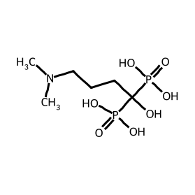 CN(C)CCCC(O)(P(=O)(O)O)P(=O)(O)O